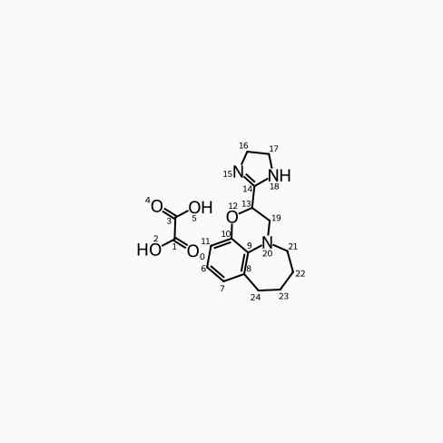 O=C(O)C(=O)O.c1cc2c3c(c1)OC(C1=NCCN1)CN3CCCC2